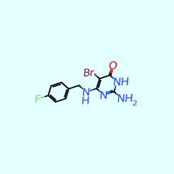 Nc1nc(NCc2ccc(F)cc2)c(Br)c(=O)[nH]1